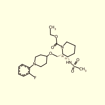 CCOC(=O)N1CCC[C@H](NS(C)(=O)=O)[C@@H]1COC1CCN(c2ccccc2F)CC1